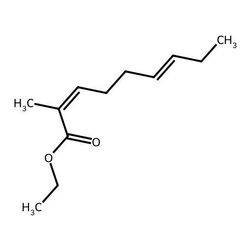 CCC=CCCC=C(C)C(=O)OCC